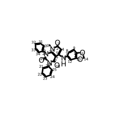 Cn1c(=O)cc(Nc2ccc3c(c2)OCO3)c2c(=O)n(-c3ccccc3)c(=O)n(-c3ccccc3)c21